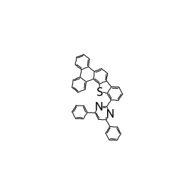 c1ccc(-c2cc(-c3ccccc3)nc(-c3cccc4c3sc3c4ccc4c5ccccc5c5ccccc5c43)n2)cc1